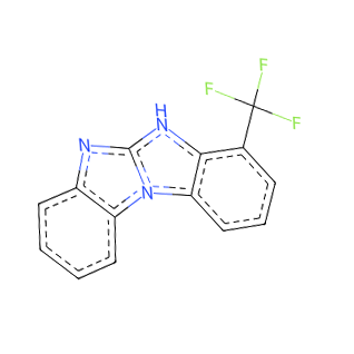 FC(F)(F)c1cccc2c1[nH]c1nc3ccccc3n12